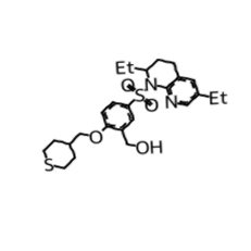 CCc1cnc2c(c1)CCC(CC)N2S(=O)(=O)c1ccc(OCC2CCSCC2)c(CO)c1